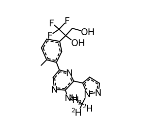 [2H]C([2H])([2H])n1nccc1-c1nc(-c2cc(C(O)(CO)C(F)(F)F)ccc2C)cnc1N